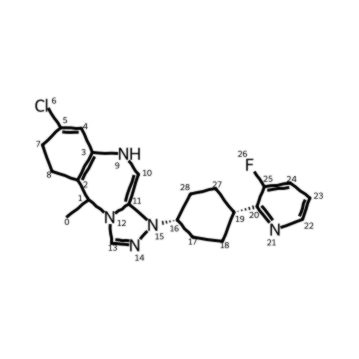 CC1C2=C(C=C(Cl)CC2)NC=C2N1C=NN2[C@H]1CC[C@@H](c2ncccc2F)CC1